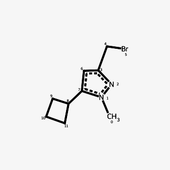 Cn1nc(CBr)cc1C1CCC1